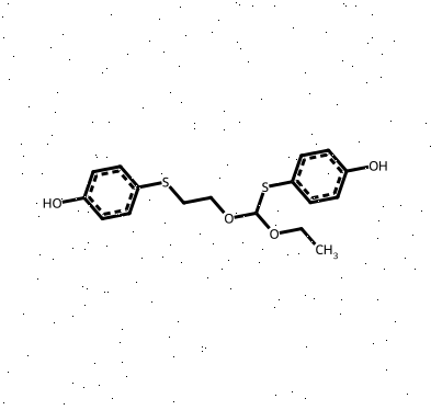 CCOC(OCCSc1ccc(O)cc1)Sc1ccc(O)cc1